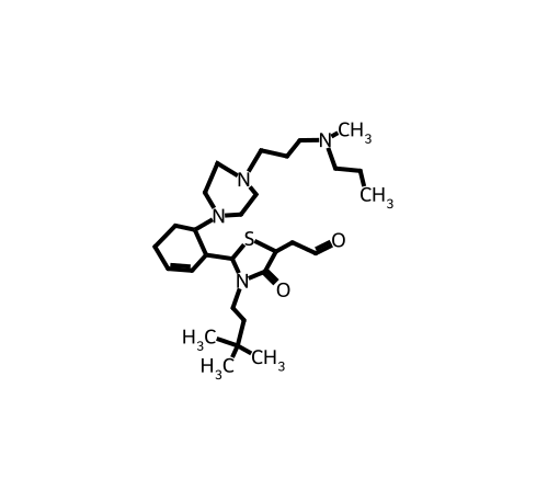 CCCN(C)CCCN1CCN(C2CCC=CC2C2SC(CC=O)C(=O)N2CCC(C)(C)C)CC1